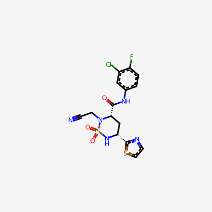 N#CCN1[C@H](C(=O)Nc2ccc(F)c(Cl)c2)C[C@H](c2nccs2)NS1(=O)=O